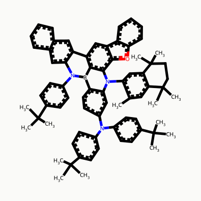 Cc1cc2c(cc1N1c3cc(N(c4ccc(C(C)(C)C)cc4)c4ccc(C(C)(C)C)cc4)ccc3B3c4c(cc5c(oc6ccccc65)c41)-c1cc4ccccc4cc1N3c1ccc(C(C)(C)C)cc1)C(C)(C)CCC2(C)C